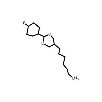 CCCCCCCC1COC(C2CCC(F)CC2)OC1